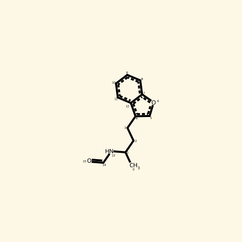 CC(CCc1coc2ccccc12)NC=O